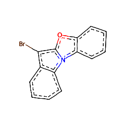 Brc1c2ccccc2n2c1oc1ccccc12